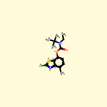 CCN(C(=O)Oc1ccc(C)c2nc(Cl)sc12)C(C)(C)C